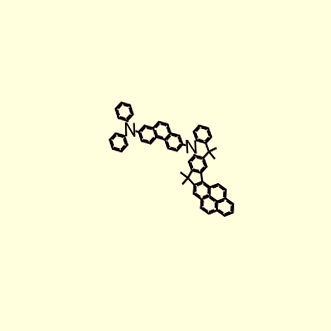 CC1(C)c2ccccc2N(c2ccc3c(ccc4cc(N(c5ccccc5)c5ccccc5)ccc43)c2)c2cc3c(cc21)-c1c(cc2ccc4cccc5ccc1c2c45)C3(C)C